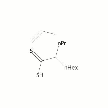 C=CC.CCCCCCC(CCC)C(=S)S